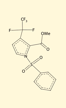 COC(=O)c1c(C(F)(F)C(F)(F)F)ccn1S(=O)(=O)c1ccccc1